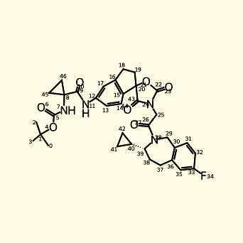 CC(C)(C)OC(=O)NC1(C(=O)Nc2ccc3c(c2)CCC32OC(=O)N(CC(=O)N3Cc4ccc(F)cc4CC[C@@H]3C3CC3)C2=O)CC1